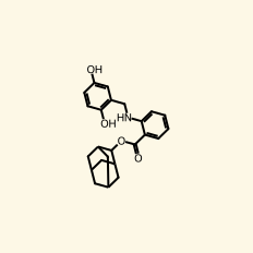 O=C(OC1C2CC3CC(C2)CC1C3)c1ccccc1NCc1cc(O)ccc1O